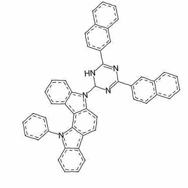 c1ccc(-n2c3ccccc3c3ccc4c(c5ccccc5n4C4N=C(c5ccc6ccccc6c5)N=C(c5ccc6ccccc6c5)N4)c32)cc1